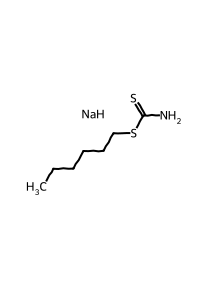 CCCCCCSC(N)=S.[NaH]